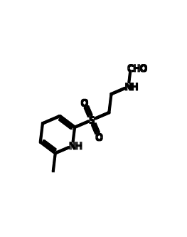 CC1=CCC=C(S(=O)(=O)CCNC=O)N1